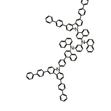 c1ccc(-c2ccc(-c3ccc4c(c3)c3cc(-c5ccc(-c6ccccc6)cc5)ccc3n4-c3ccc(-c4ccc(N(c5cccc(N(c6cccc7ccccc67)c6ccc(-n7c8ccc(-c9ccc(-c%10ccccc%10)cc9)cc8c8cc(-c9ccc(-c%10ccccc%10)cc9)ccc87)c7ccccc67)c5)c5cccc6ccccc56)c5ccccc45)cc3)cc2)cc1